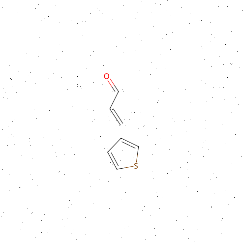 C=CC=O.c1ccsc1